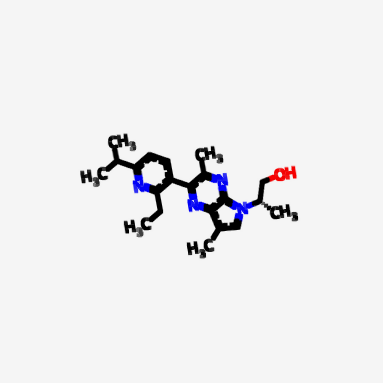 CCc1nc(C(C)C)ccc1-c1nc2c(C)cn([C@@H](C)CO)c2nc1C